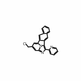 ClCc1cc2nc(-c3ccccn3)c3c4cc5ccccc5cc4c(c1)n23